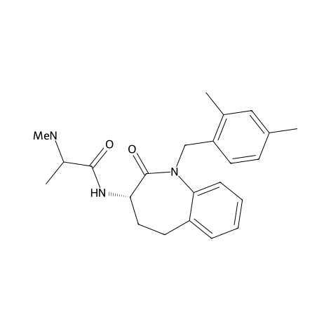 CNC(C)C(=O)N[C@H]1CCc2ccccc2N(Cc2ccc(C)cc2C)C1=O